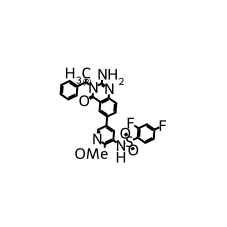 COc1ncc(-c2ccc3nc(N)n([C@H](C)c4ccccc4)c(=O)c3c2)cc1NS(=O)(=O)c1ccc(F)cc1F